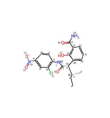 CC[C@@H](C)[C@H](C(=O)Nc1ccc([N+](=O)[O-])cc1Cl)c1cccc(C(N)=O)c1O